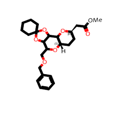 COC(=O)C[C@H]1CC[C@@H]2OC(COCc3ccccc3)C3OC4(CCCCC4)OC3C2O1